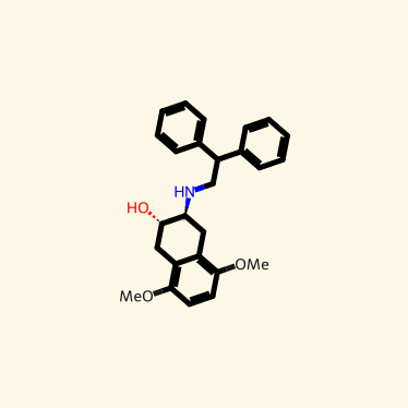 COc1ccc(OC)c2c1C[C@H](NCC(c1ccccc1)c1ccccc1)[C@@H](O)C2